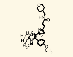 C=NN(/C(=C(\C)c1nc(/C=C/C(=O)NCC2CCOCC2)cs1)c1ccc(OC)cc1)C(C)(C)C